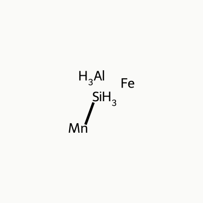 [AlH3].[Fe].[SiH3][Mn]